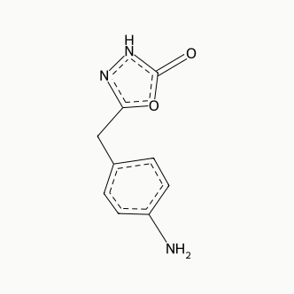 Nc1ccc(Cc2n[nH]c(=O)o2)cc1